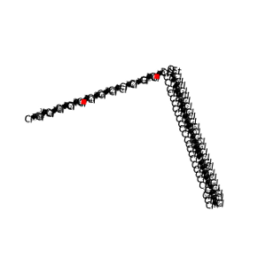 CCOCC.ClCCl.ClCCl.ClCCl.ClCCl.ClCCl.ClCCl.ClCCl.ClCCl.ClCCl.ClCCl.ClCCl.ClCCl.ClCCl.ClCCl.ClCCl.ClCCl.ClCCl.ClCCl.ClCCl.ClCCl.ClCCl.ClCCl.ClCCl.ClCCl.ClCCl.ClCCl.ClCCl.ClCCl.ClCCl.ClCCl.ClCCl.ClCCl.ClCCl.ClCCl.ClCCl.ClCCl.ClCCl.ClCCl.ClCCl